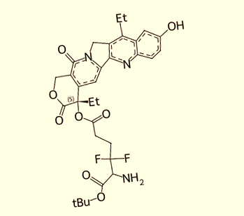 CCc1c2c(nc3ccc(O)cc13)-c1cc3c(c(=O)n1C2)COC(=O)[C@@]3(CC)OC(=O)CCC(F)(F)C(N)C(=O)OC(C)(C)C